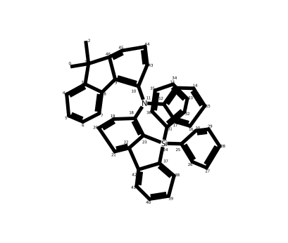 CC1(C)c2ccccc2-c2c(N(c3ccccc3)c3cccc4c3[Si](c3ccccc3)(c3ccccc3)c3ccccc3-4)cccc21